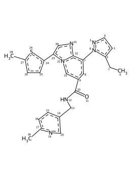 CCc1ccnn1-c1cc(C(=O)NCc2ccc(C)nc2)cn2c(-c3ccc(C)s3)cnc12